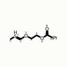 C[SH]=COCCOC(=O)C(C)C